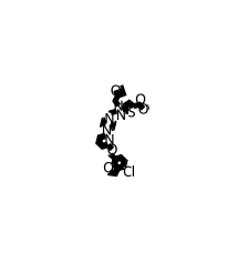 COC(=O)c1cc2c(nc(CN3CCN(c4cccc(OCc5ccc(Cl)c6ccoc56)n4)CC3)n2CC2CCO2)s1